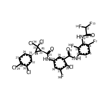 O=C(Nc1ccc(F)c(NC(=O)C(F)F)c1F)c1cc(NC(=O)[C@H]2[C@H](c3ccc(Cl)c(Cl)c3)C2(Cl)Cl)cc(F)c1Cl